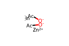 CC(=O)[O-].CC(=O)[O-].[In].[Zn+2]